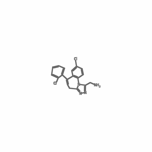 NCc1nnc2n1-c1ccc(Cl)cc1C(c1ccccc1Cl)=CC2